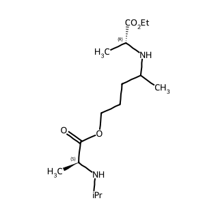 CCOC(=O)[C@@H](C)NC(C)CCCOC(=O)[C@H](C)NC(C)C